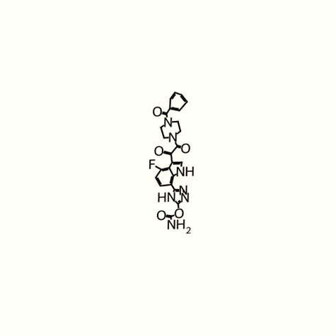 NC(=O)Oc1nnc(-c2ccc(F)c3c(C(=O)C(=O)N4CCN(C(=O)c5ccccc5)CC4)c[nH]c23)[nH]1